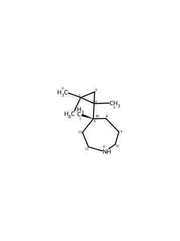 CC1(C)CC1(C)[C@]1(C)CCCNCC1